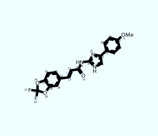 COc1ccc(-c2c[nH]c(NC(=O)/C=C/c3ccc4c(c3)OC(F)(F)O4)n2)cc1